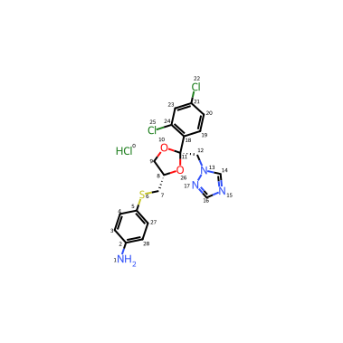 Cl.Nc1ccc(SC[C@@H]2CO[C@@](Cn3cncn3)(c3ccc(Cl)cc3Cl)O2)cc1